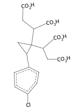 O=C(O)CC(C(=O)O)C1(C(CC(=O)O)C(=O)O)CC1c1ccc(Cl)cc1